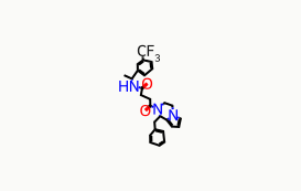 CC(NC(=O)CCC(=O)N1CCn2cccc2C1Cc1ccccc1)c1cccc(C(F)(F)F)c1